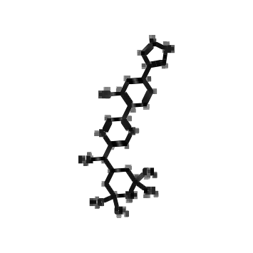 CC1(C)CC(C(N)c2cnc(-c3ccc(-c4cn[nH]c4)cc3O)cn2)CC(C)(C)N1